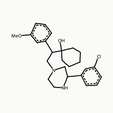 COc1cccc(C(CN2CCNC(c3cccc(Cl)c3)C2)C2(O)CCCCC2)c1